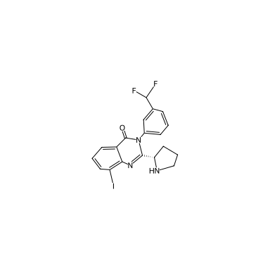 O=c1c2cccc(I)c2nc([C@@H]2CCCN2)n1-c1cccc(C(F)F)c1